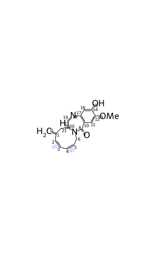 C=C1/C=C\C=C/CN2C(=O)c3cc(OC)c(O)cc3N=C[C@@H]2C1